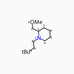 COCC1CCCCN1CCC(C)(C)C